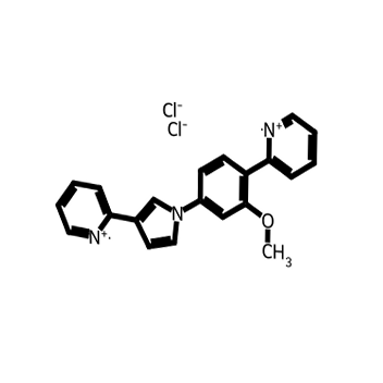 COc1cc(-n2ccc(C3=CC=CC=[N+]3)c2)ccc1C1=CC=CC=[N+]1.[Cl-].[Cl-]